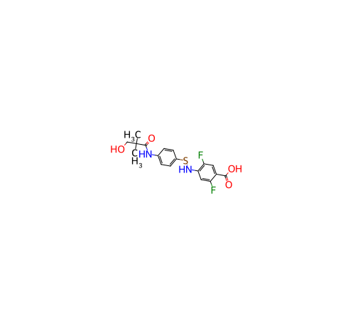 CC(C)(CO)C(=O)Nc1ccc(SNc2cc(F)c(C(=O)O)cc2F)cc1